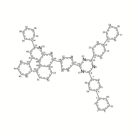 c1ccc(-c2ccc(-c3nc(-c4ccc(-c5ccccc5)cc4)nc(-c4ccc(-c5cc6nc(-c7ccccc7)cc(-c7ccccc7)c6c6ccccc56)cc4)n3)cc2)cc1